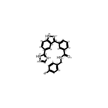 O=C(NCc1ccc(F)cc1)c1cccc(-c2n[nH]c3ccc(-c4ncn[nH]4)cc23)c1